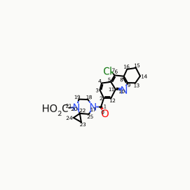 O=C(c1ccc2c(Cl)c3c(nc2c1)CCCC3)N1CCN(C(=O)O)C2(CC2)C1